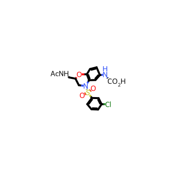 CC(=O)NCC1CN(S(=O)(=O)c2cccc(Cl)c2)c2cc(NC(=O)O)ccc2O1